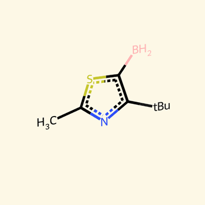 Bc1sc(C)nc1C(C)(C)C